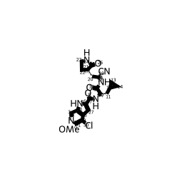 COc1ncc2[nH]c(C(=O)N[C@@H](CC3CC3)C(=O)N[C@H](C#N)C[C@@H]3CCNC3=O)cc2c1Cl